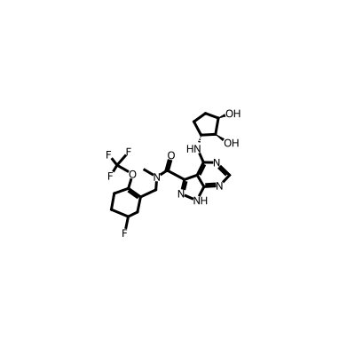 CN(CC1=C(OC(F)(F)F)CCC(F)C1)C(=O)c1n[nH]c2ncnc(N[C@@H]3CC[C@@H](O)[C@H]3O)c12